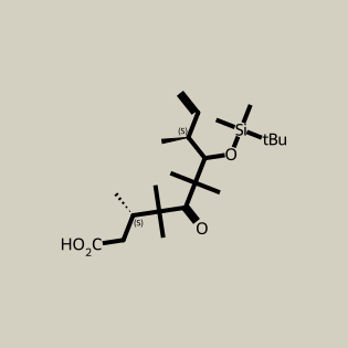 C=C[C@H](C)C(O[Si](C)(C)C(C)(C)C)C(C)(C)C(=O)C(C)(C)[C@@H](C)CC(=O)O